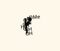 CCCOCCn1c(=O)c(NCC(=O)NCCCO)nc2cnc(-c3ccc(OC)nc3)cc21